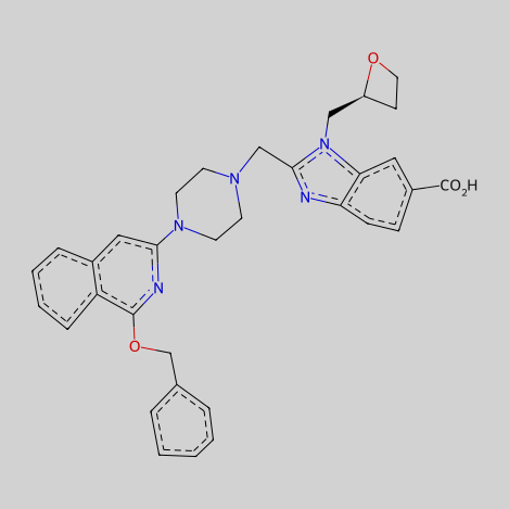 O=C(O)c1ccc2nc(CN3CCN(c4cc5ccccc5c(OCc5ccccc5)n4)CC3)n(C[C@@H]3CCO3)c2c1